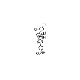 C=CC(c1c(Cl)cc(Cl)cc1Cl)S(=O)(=O)Nc1nc(-c2ccc(NC(C)=O)cc2)ns1